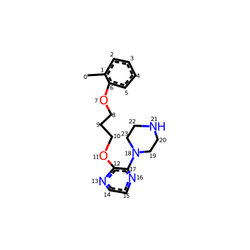 Cc1ccccc1OCCCOc1nccnc1N1CCNCC1